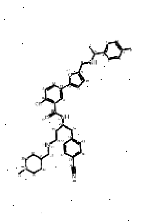 Cc1ccc(C(C)NCc2ccc(-c3ccc(Cl)c(C(=O)NC(CCNCC4CCN(C)CC4)Cc4ccc(C#N)cc4)c3)o2)cc1